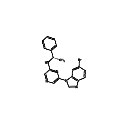 C[C@H](Nc1cncc(-n2cnc3ccc(Br)cc32)n1)c1ccccc1